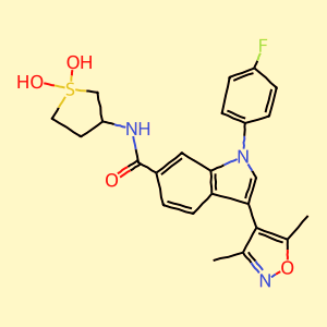 Cc1noc(C)c1-c1cn(-c2ccc(F)cc2)c2cc(C(=O)NC3CCS(O)(O)C3)ccc12